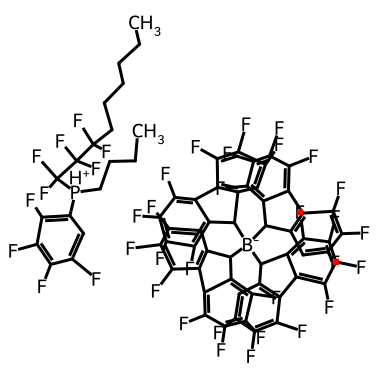 CCCCCCC(F)(F)C(F)(F)C(F)(F)[PH+](CCCC)c1cc(F)c(F)c(F)c1F.Fc1cc2c(c(F)c1F)-c1c(F)c(F)c(F)c(F)c1C2[B-](C1c2cc(F)c(F)c(F)c2-c2c(F)c(F)c(F)c(F)c21)(C1c2cc(F)c(F)c(F)c2-c2c(F)c(F)c(F)c(F)c21)C1c2cc(F)c(F)c(F)c2-c2c(F)c(F)c(F)c(F)c21